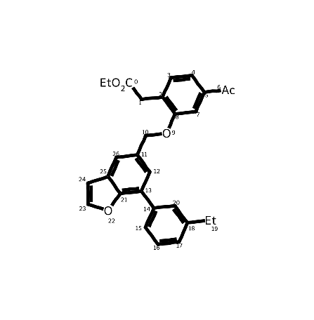 CCOC(=O)Cc1ccc(C(C)=O)cc1OCc1cc(-c2cccc(CC)c2)c2occc2c1